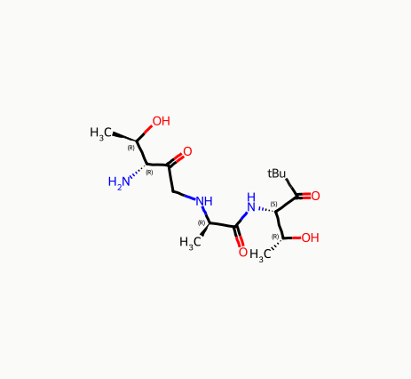 C[C@@H](NCC(=O)[C@H](N)[C@@H](C)O)C(=O)N[C@H](C(=O)C(C)(C)C)[C@@H](C)O